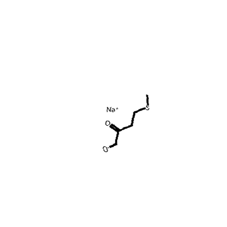 CSCCC(=O)C[O-].[Na+]